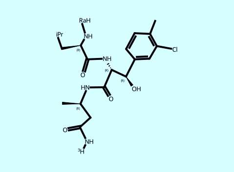 [3H]NC(=O)C[C@@H](C)NC(=O)[C@H](NC(=O)[C@@H](CC(C)C)[NH][RaH])[C@H](O)c1ccc(C)c(Cl)c1